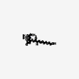 C=C/C(C)=C/C1(C)SC(=O)C=C1OCC(=O)NCCOCCOCCO